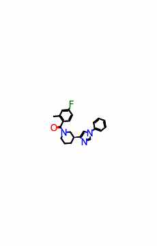 Cc1cc(F)ccc1C(=O)N1CCC[C@H](c2cn(-c3ccccc3)cn2)C1